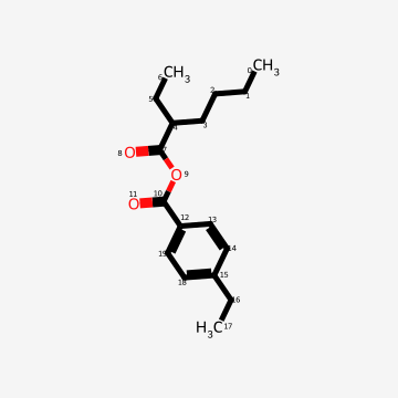 CCCCC(CC)C(=O)OC(=O)c1ccc(CC)cc1